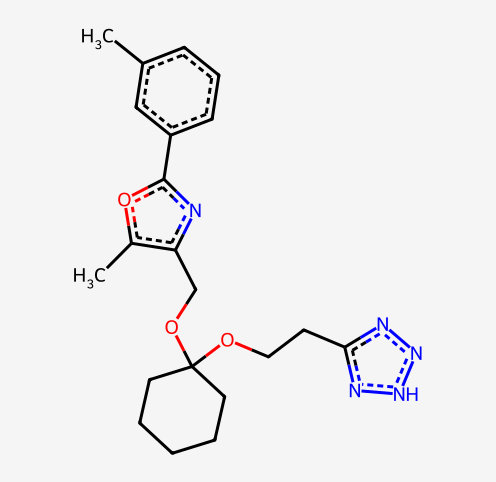 Cc1cccc(-c2nc(COC3(OCCc4nn[nH]n4)CCCCC3)c(C)o2)c1